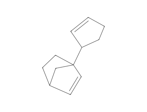 C1=CC(C23C=CC(CC2)C3)CC1